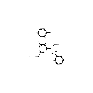 COCc1nc(Cl)c(Oc2cc(OC)ccc2Cl)c(N(CC(C)C)S(=O)(=O)c2ccccc2)n1